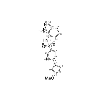 COc1cnn(-c2ccc(S(=O)(=O)Nc3cccc4cnn(C)c34)cn2)c1